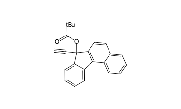 C#CC1(OC(=O)C(C)(C)C)c2ccccc2-c2c1ccc1ccccc21